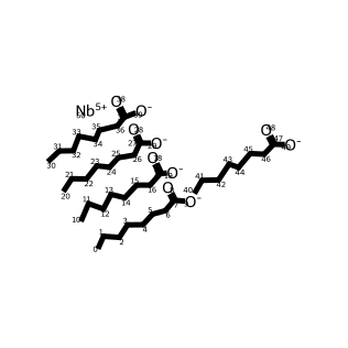 CCCCCCCC(=O)[O-].CCCCCCCC(=O)[O-].CCCCCCCC(=O)[O-].CCCCCCCC(=O)[O-].CCCCCCCC(=O)[O-].[Nb+5]